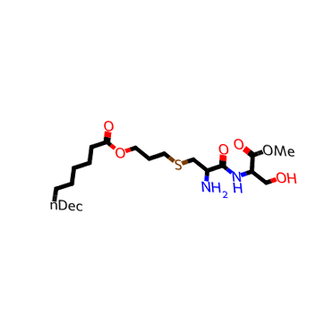 CCCCCCCCCCCCCCCC(=O)OCCCSCC(N)C(=O)NC(CO)C(=O)OC